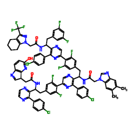 Cc1cc2ncn(CC(=O)NC(Cc3cc(F)c(-c4cnc(C(Cc5cc(F)cc(F)c5)NC(=O)Cn5nc(C(F)(F)F)c6c5CCCC6)c(-c5ccc(Cl)cc5)n4)c(F)c3)c3ncc(-c4c(F)cc(CC(NC(=O)CC5C=Nc6ccc(O)nc65)c5nccnc5-c5ccc(Cl)cc5)cc4F)nc3-c3ccc(Cl)cc3)c2cc1C